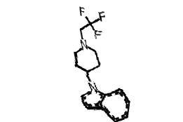 FC(F)(F)CN1CCC(n2ccc3ccccc32)CC1